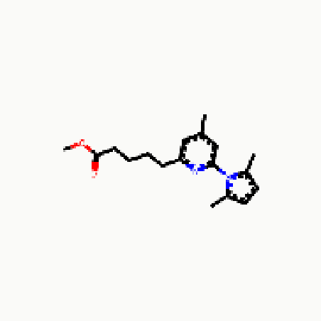 COC(=O)CCCCc1cc(C)cc(-n2c(C)ccc2C)n1